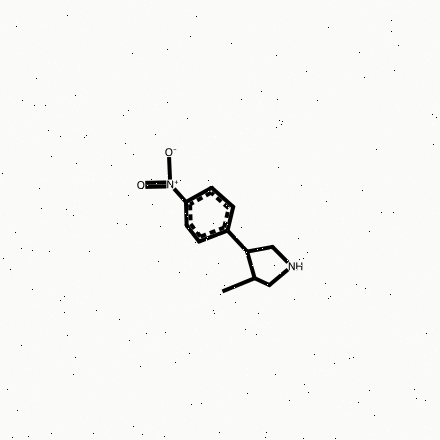 CC1CNCC1c1ccc([N+](=O)[O-])cc1